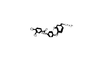 O=C(O)Cc1ccc(Oc2ccc(NC(=O)c3ccc(Cl)c(Cl)c3)cc2)c(F)c1